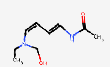 CCN(/C=C\C=C\NC(C)=O)CO